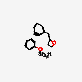 C(=C1CCO1)c1ccccc1.O=S(=O)(O)Oc1ccccc1